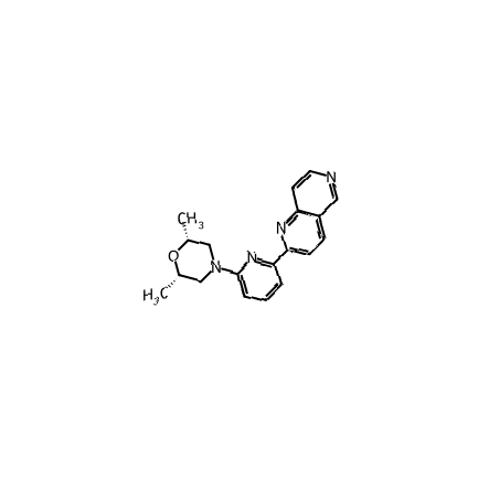 C[C@@H]1CN(c2cccc(-c3ccc4cnccc4n3)n2)C[C@H](C)O1